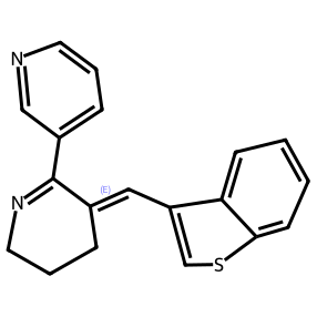 C(=C1/CCCN=C1c1cccnc1)/c1csc2ccccc12